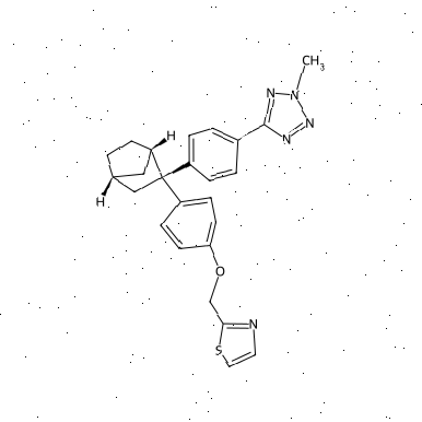 Cn1nnc(-c2ccc([C@@]3(c4ccc(OCc5nccs5)cc4)C[C@@H]4CC[C@H]3C4)cc2)n1